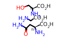 NC(=O)C[C@H](N)C(=O)O.NCC(=O)O.N[C@@H](CO)C(=O)O